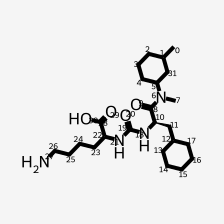 CC1CCCC(N(C)C(=O)[C@@H](CC2CCCCC2)NC(=O)NC(CCCCN)C(=O)O)C1